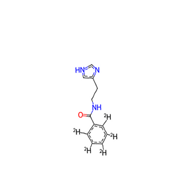 [2H]c1c([2H])c([2H])c(C(=O)NCCc2c[nH]cn2)c([2H])c1[2H]